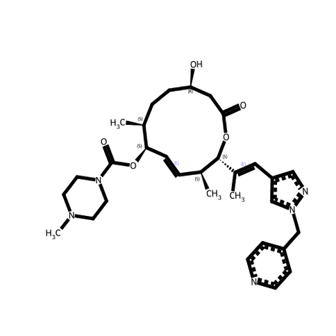 C/C(=C\c1cnn(Cc2ccncc2)c1)[C@H]1OC(=O)C[C@H](O)CC[C@H](C)[C@H](OC(=O)N2CCN(C)CC2)/C=C/[C@@H]1C